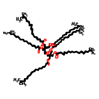 CC(C)CCCCCCCCCCCCCCC(=O)OCC(COCC(COC(=O)CCCCCCCCCCCCCCC(C)C)(COC(=O)CCCCCCCCCCCCCCC(C)C)COC(=O)CCCCCCCCCCCCCCC(C)C)(COC(=O)CCCCCCCCCCCCCCC(C)C)COC(=O)CCCCCCCCCCCCCCC(C)C